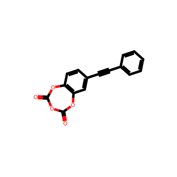 O=C1OC(=O)Oc2cc(C#Cc3ccccc3)ccc2O1